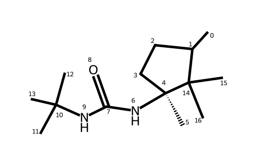 CC1CC[C@](C)(NC(=O)NC(C)(C)C)C1(C)C